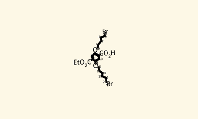 CCOC(=O)c1cc(OCCCCCBr)c(C(=O)O)cc1OCCCCCCBr